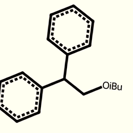 CC(C)COCC(c1ccccc1)c1ccccc1